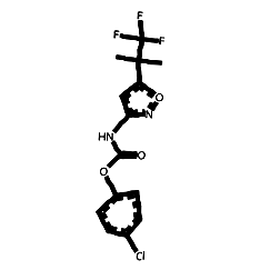 CC(C)(c1cc(NC(=O)Oc2ccc(Cl)cc2)no1)C(F)(F)F